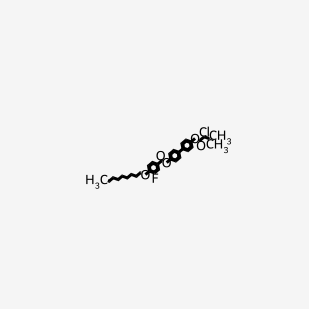 CCCCCCCCCOc1ccc(C(=O)Oc2ccc(-c3ccc(OC(=O)C(Cl)C(C)C)cc3)cc2)cc1F